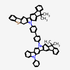 CC1(C)c2ccccc2-c2cc3c4c(n(-c5ccc(-c6ccc(-n7c8cc9c(cc8c8cc%10c(cc87)c7ccccc7n%10-c7ccccc7)-c7ccccc7C9(C)C)cc6)cc5)c3cc21)CC1Sc2ccccc2C1=C4